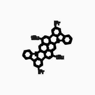 CC(C)c1cc2c3c(c1)-c1cc(C(C)(C)C)c4cc5c6c(cc(C(C)(C)C)c7cc(c1c4c76)B3c1ccccc1-2)-c1cc(C(C)C)cc2c1B5c1ccccc1-2